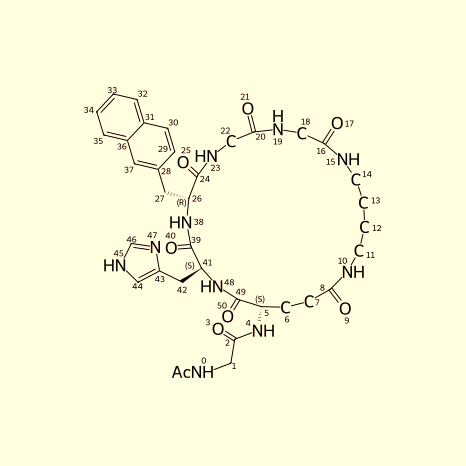 CC(=O)NCC(=O)N[C@H]1CCC(=O)NCCCCNC(=O)CNC(=O)CNC(=O)[C@@H](Cc2ccc3ccccc3c2)NC(=O)[C@H](Cc2c[nH]cn2)NC1=O